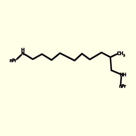 CCCNCCCCCCCCC(C)CNCCC